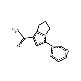 NC(=O)c1cc(-c2cccnc2)n2c1CCC2